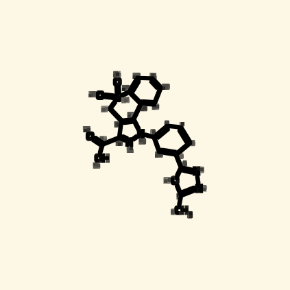 Cc1nnc(-c2cccc(-n3nc(C(=O)O)c4c3-c3ccccc3S(=O)(=O)C4)c2)o1